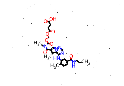 CCCNC(=O)c1ccc(C)c(Nc2ncnn3cc(C(=O)N(CC)C(=O)OCOC(=O)CCC(=O)O)c(C)c23)c1